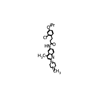 Cc1cc(N2CCN(C)CC2)nc2ccc(NC(=O)CCc3ccc(OC(C)C)cc3Cl)cc12